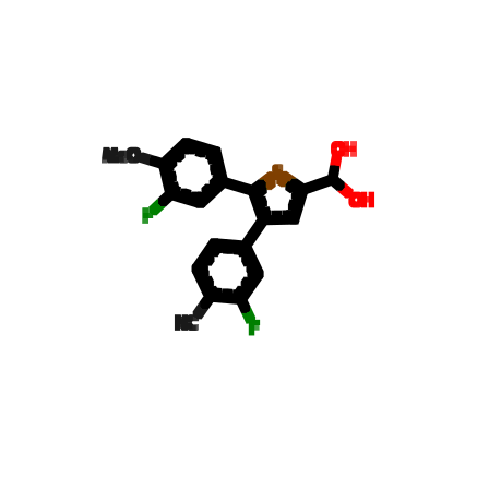 COc1ccc(-c2sc(C(O)O)cc2-c2ccc(C#N)c(F)c2)cc1F